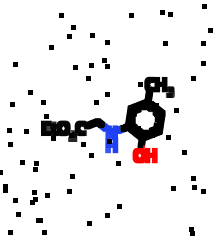 CCOC(=O)CNc1cc(C)ccc1O